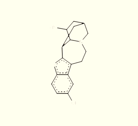 CCCC1CC2CC3c4sc5ccc(O)cc5c4CCN(C2)C13